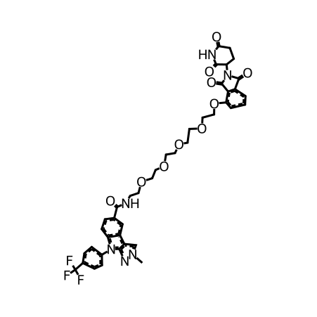 Cn1cc2c3cc(C(=O)NCCOCCOCCOCCOCCOc4cccc5c4C(=O)N(C4CCC(=O)NC4=O)C5=O)ccc3n(-c3ccc(C(F)(F)F)cc3)c2n1